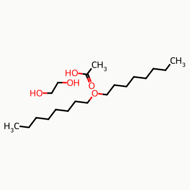 CC(=O)O.CCCCCCCCOCCCCCCCC.OCCO